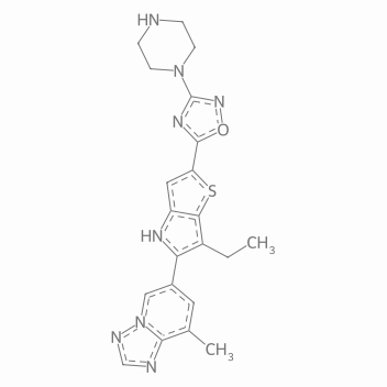 CCc1c(-c2cc(C)c3ncnn3c2)[nH]c2cc(-c3nc(N4CCNCC4)no3)sc12